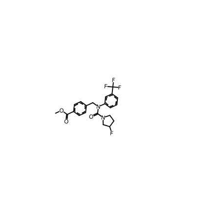 COC(=O)c1ccc(CN(C(=O)N2CCC(F)C2)c2cccc(C(F)(F)F)c2)cc1